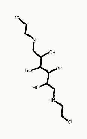 OC(CNCCCl)C(O)C(O)C(O)CNCCCl